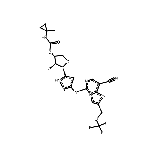 CC1(NC(=O)O[C@H]2CO[C@@H](c3cc(Nc4ncc(C#N)c5nc(COC(F)(F)F)cn45)n[nH]3)[C@H]2F)CC1